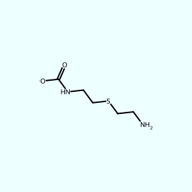 NCCSCCNC([O])=O